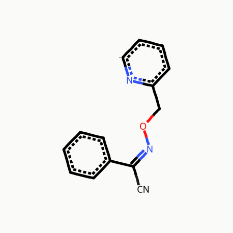 N#CC(=NOCc1ccc[c]n1)c1ccccc1